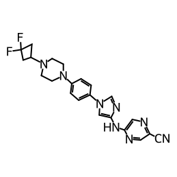 N#Cc1cnc(Nc2cn(-c3ccc(N4CCN(C5CC(F)(F)C5)CC4)cc3)cn2)cn1